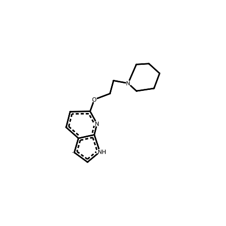 [c]1c[nH]c2nc(OCCN3CCCCC3)ccc12